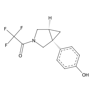 O=C(N1C[C@H]2C[C@@]2(c2ccc(O)cc2)C1)C(F)(F)F